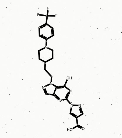 O=C(O)c1cnn(-c2nc(O)c3c(cnn3CCC3CCN(c4ccc(C(F)(F)F)cc4)CC3)n2)c1